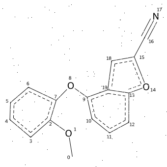 COc1ccccc1Oc1cccc2oc(C#N)cc12